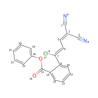 N#CC(C#N)=CC=C(Cl)c1ccccc1C(=O)Oc1ccccc1